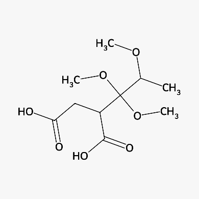 COC(C)C(OC)(OC)C(CC(=O)O)C(=O)O